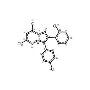 Clc1ccc(-c2c(-c3ccccc3Cl)nn3c(Cl)cc(Cl)nc23)cc1